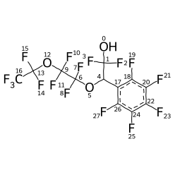 OC(F)(F)C(OC(F)(F)C(F)(F)OC(F)(F)C(F)(F)F)c1c(F)c(F)c(F)c(F)c1F